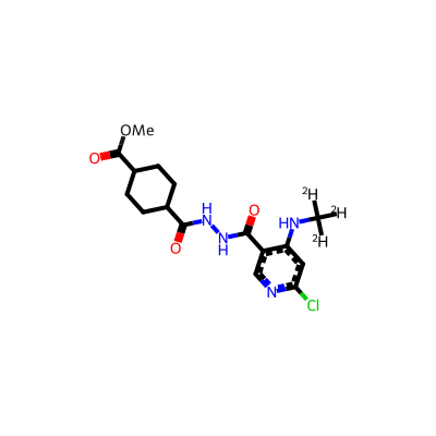 [2H]C([2H])([2H])Nc1cc(Cl)ncc1C(=O)NNC(=O)C1CCC(C(=O)OC)CC1